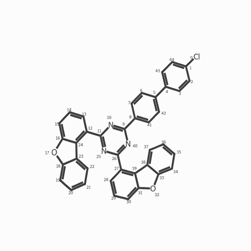 Clc1ccc(-c2ccc(-c3nc(-c4cccc5oc6ccccc6c45)nc(-c4cccc5oc6ccccc6c45)n3)cc2)cc1